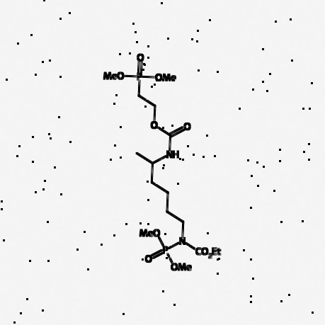 CCOC(=O)N(CCCCC(C)NC(=O)OCCP(=O)(OC)OC)P(=O)(OC)OC